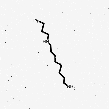 CC(C)CCCNCCCCCCCCN